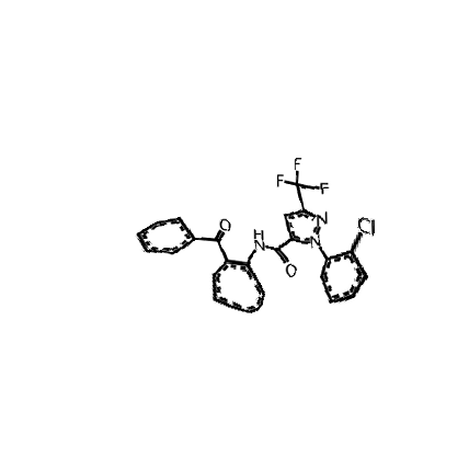 O=C(c1ccccc1)c1ccccc1NC(=O)c1cc(C(F)(F)F)nn1-c1ccccc1Cl